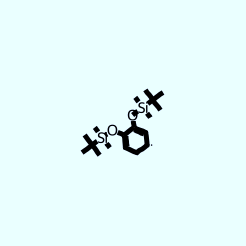 CC(C)(C)[Si](C)(C)OC1=C[CH]CC=C1O[Si](C)(C)C(C)(C)C